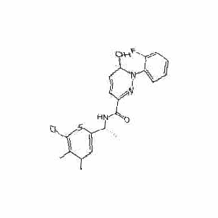 CC1=C(Cl)SC([C@@H](C)NC(=O)C2=NN(c3ccccc3F)C(O)C=C2)=CC1C